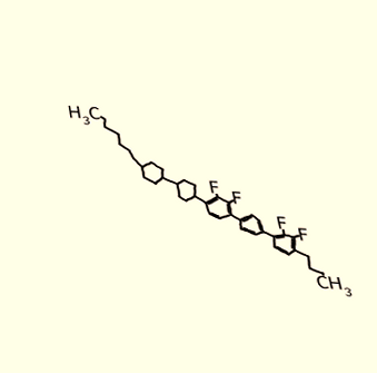 CCCCCCCC1CCC(C2CCC(c3ccc(-c4ccc(-c5ccc(CCCC)c(F)c5F)cc4)c(F)c3F)CC2)CC1